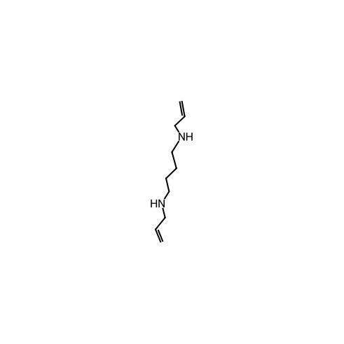 C=CCNCCCCNCC=C